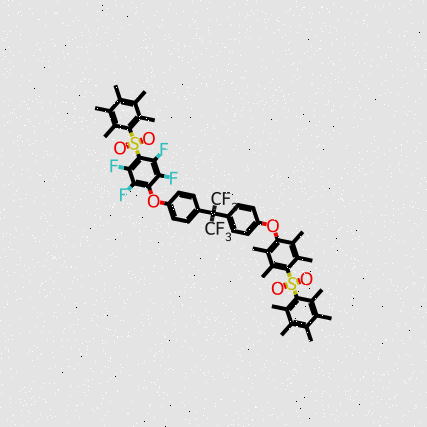 Cc1c(C)c(C)c(S(=O)(=O)c2c(C)c(C)c(Oc3ccc(C(c4ccc(Oc5c(F)c(F)c(S(=O)(=O)c6c(C)c(C)c(C)c(C)c6C)c(F)c5F)cc4)(C(F)(F)F)C(F)(F)F)cc3)c(C)c2C)c(C)c1C